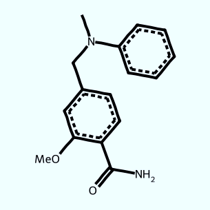 COc1cc(CN(C)c2ccccc2)ccc1C(N)=O